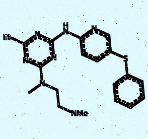 CCc1nc(Nc2ccc(Sc3ccccc3)cn2)nc(N(C)CCNC)n1